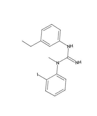 CCc1cccc(NC(=N)N(C)c2ccccc2I)c1